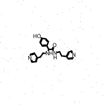 O=C(NCCc1ccncc1)C(NCCc1ccncc1)c1ccc(O)cc1